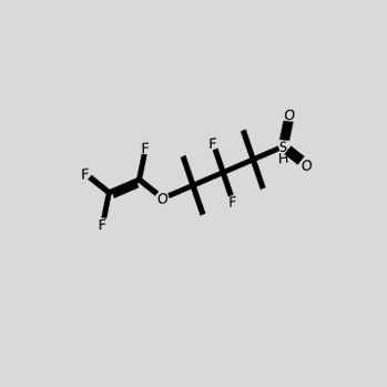 CC(C)(OC(F)=C(F)F)C(F)(F)C(C)(C)[SH](=O)=O